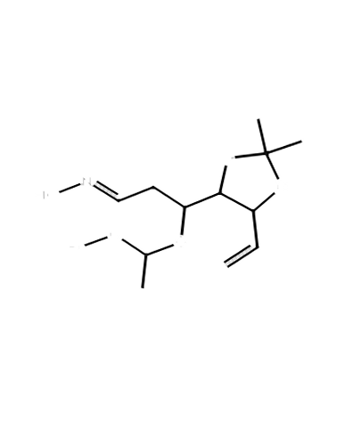 C=CC1OC(C)(C)OC1C(CC=NO)OC(C)OCC